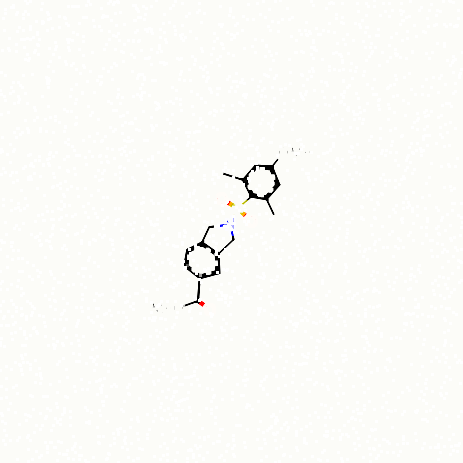 COC(=O)c1ccc2c(c1)CN(S(=O)(=O)c1c(C)cc(OC)cc1C)C2